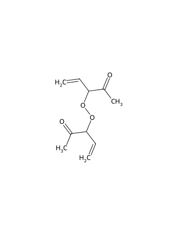 C=CC(OOC(C=C)C(C)=O)C(C)=O